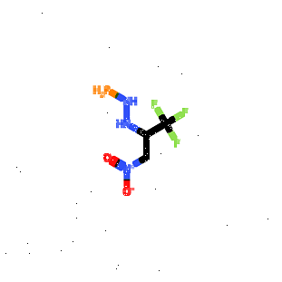 O=[N+]([O-])CC(NNP)C(F)(F)F